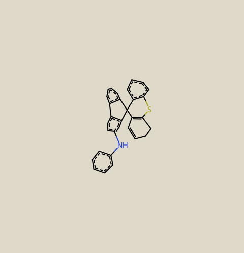 C1=CC2=C(CC1)Sc1ccccc1C21c2ccccc2-c2ccc(Nc3ccccc3)cc21